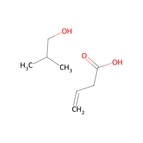 C=CCC(=O)O.CC(C)CO